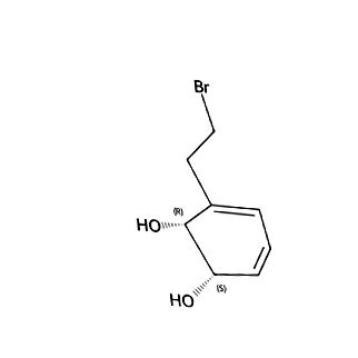 O[C@@H]1C(CCBr)=CC=C[C@@H]1O